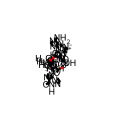 CC(C)(C)[Si](C)(C)OC1[C@H]2OP(=O)(O)OC[C@H]3O[C@@H](n4cnc5c(N)ncnc54)C(N=[N+]=[N-])[C@@H]3OP(=O)(O)OC[C@H]1O[C@H]2n1cnc2c(=O)[nH]c3nccn3c21